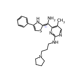 Cc1cnc(NCCCN2CCCC2)nc1/C(N)=C1/NC(c2ccccc2)=CS1